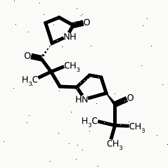 CC(C)(C)C(=O)[C@@H]1CCC(CC(C)(C)C(=O)[C@@H]2CCC(=O)N2)N1